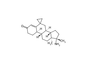 C[C@]1(N)CC[C@H]2[C@@H]3CC4(CC4)C4=CC(=O)CC[C@@H]4[C@H]3CC[C@@]21C